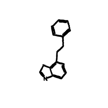 C1=Nc2cccc(CCc3ccccc3)c2C1